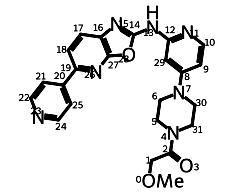 COCC(=O)N1CCN(c2ccnc(Nc3nc4ccc(-c5ccncc5)nc4o3)c2)CC1